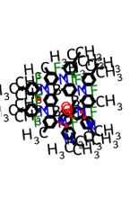 Cc1cc2c3c(c1)N(c1c(F)cc(C(C)(C)C)cc1F)c1cc4c(cc1B3c1cc3c(cc1N2c1c(F)cc(C(C)(C)C)cc1F)N(c1c(F)cc(C(C)(C)C)cc1F)c1cc(C)cc2c1B3c1oc3ccc(C#N)cc3c1N2c1ccc(C(C)(C)C)cc1F)B1c2oc3ccc(C#N)cc3c2N(c2ccc(C(C)(C)C)cc2F)c2cc(C)cc(c21)N4c1c(F)cc(C(C)(C)C)cc1F